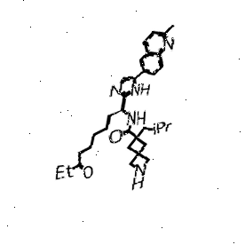 CCC(=O)CCCCC[C@H](NC(=O)C1(CC(C)C)CC2(CNC2)C1)c1ncc(-c2ccc3nc(C)ccc3c2)[nH]1